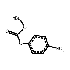 CCCCOC(=O)Oc1ccc([N+](=O)[O-])cc1